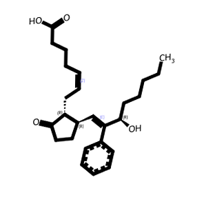 CCCCC[C@@H](O)/C(=C/[C@H]1CCC(=O)[C@@H]1C/C=C\CCCC(=O)O)c1ccccc1